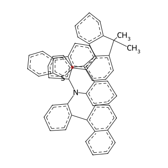 CC1(C)c2ccccc2-c2c(-c3ccccc3N(c3ccccc3-c3cccc4ccccc34)c3ccccc3-c3cccc4c3sc3ccccc34)cccc21